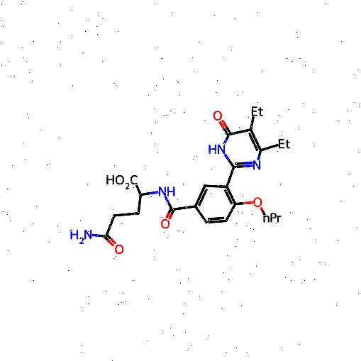 CCCOc1ccc(C(=O)NC(CCC(N)=O)C(=O)O)cc1-c1nc(CC)c(CC)c(=O)[nH]1